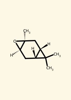 CC1(C)[C@@H]2C[C@H]3O[C@@]3(C)C[C@@H]21